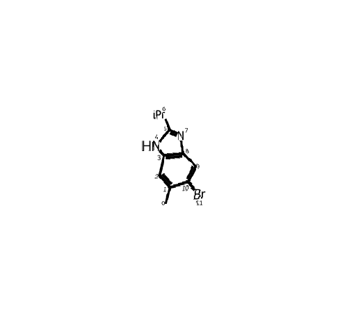 Cc1cc2[nH]c(C(C)C)nc2cc1Br